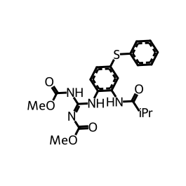 COC(=O)N=C(NC(=O)OC)Nc1ccc(Sc2ccccc2)cc1NC(=O)C(C)C